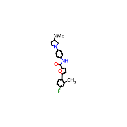 CNC1CCN(c2ccc(NC(=O)c3ccc(-c4ccc(F)cc4C)o3)cc2)C1